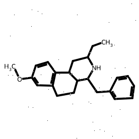 CCC1CC2c3ccc(OC)cc3CCC2C(Cc2ccccc2)N1